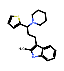 Cc1[nH]c2ccccc2c1CCC(c1cccs1)N1CCCCC1